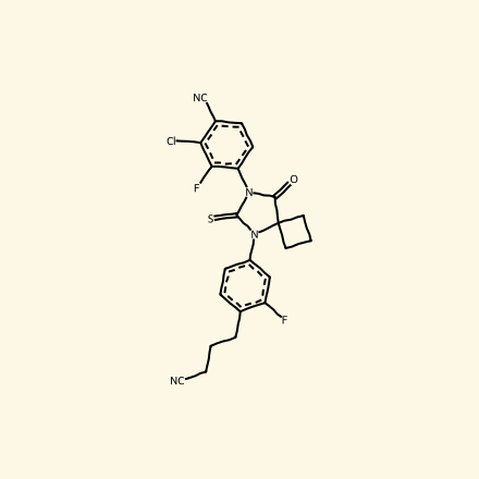 N#CCCCc1ccc(N2C(=S)N(c3ccc(C#N)c(Cl)c3F)C(=O)C23CCC3)cc1F